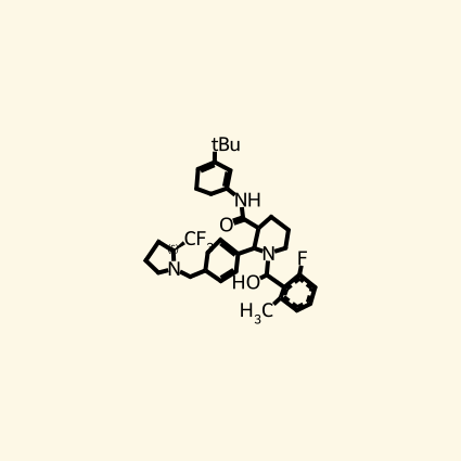 Cc1cccc(F)c1C(O)N1CCCC(C(=O)NC2=CC(C(C)(C)C)=CCC2)C1C1=CCC(CN2CCC[C@H]2C(F)(F)F)C=C1